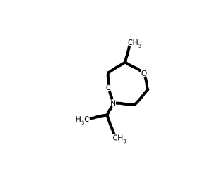 CC1CCN(C(C)C)CCO1